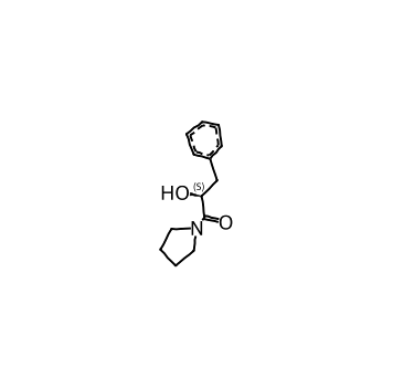 O=C([C@@H](O)Cc1ccccc1)N1CCCC1